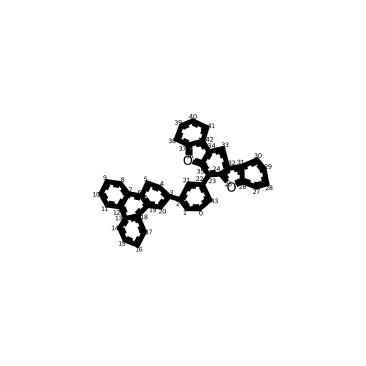 c1cc(-c2ccc3c4ccccc4c4ccccc4c3c2)cc(-c2c3oc4ccccc4c3cc3c2oc2ccccc23)c1